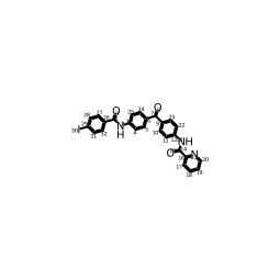 O=C(Nc1ccc(C(=O)c2ccc(NC(=O)c3ccccn3)cc2)cc1)c1ccc(I)cc1